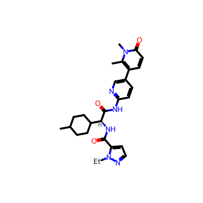 CCn1nccc1C(=O)N[C@H](C(=O)Nc1ccc(-c2ccc(=O)n(C)c2C)cn1)C1CCC(C)CC1